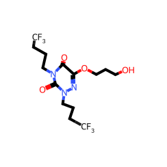 O=c1c(OCCCO)nn(CCCC(F)(F)F)c(=O)n1CCCC(F)(F)F